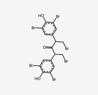 O=C(C(CBr)c1cc(Br)c(O)c(Br)c1)C(CBr)c1cc(Br)c(O)c(Br)c1